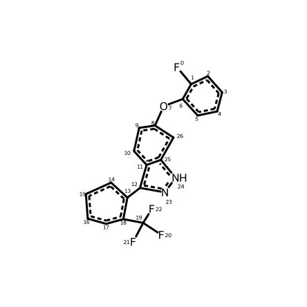 Fc1ccccc1Oc1ccc2c(-c3ccccc3C(F)(F)F)n[nH]c2c1